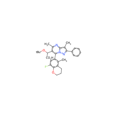 Cc1nc2c(C)c(-c3ccccc3)nn2c(-c2cc(F)c3c(c2C)CCCO3)c1C(OC(C)(C)C)C(=O)O